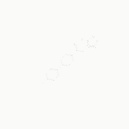 ON=C(Cn1cncn1)c1ccc(-c2ccc(Cl)cc2)cc1